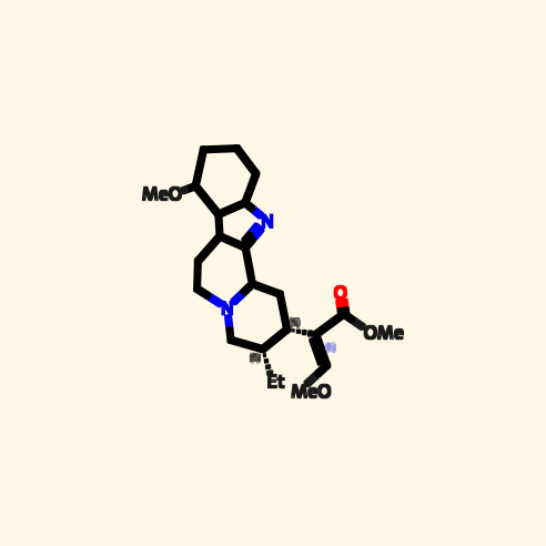 CC[C@@H]1CN2CCC3C(=NC4CCCC(OC)C43)C2C[C@@H]1/C(=C\OC)C(=O)OC